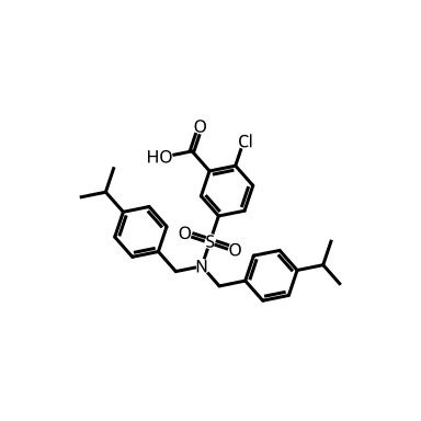 CC(C)c1ccc(CN(Cc2ccc(C(C)C)cc2)S(=O)(=O)c2ccc(Cl)c(C(=O)O)c2)cc1